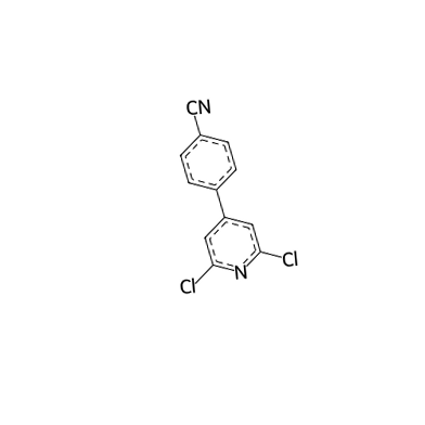 N#Cc1ccc(-c2cc(Cl)nc(Cl)c2)cc1